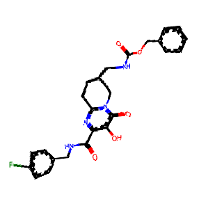 O=C(NCC1CCc2nc(C(=O)NCc3ccc(F)cc3)c(O)c(=O)n2C1)OCc1ccccc1